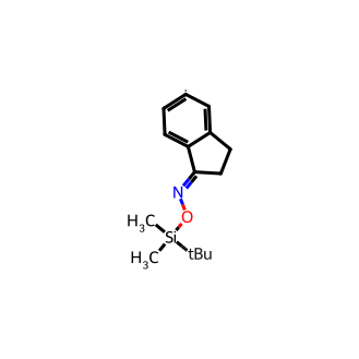 CC(C)(C)[Si](C)(C)ON=C1CCc2c[c]ccc21